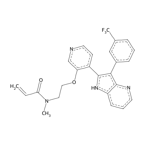 C=CC(=O)N(C)CCOc1cnccc1-c1[nH]c2cccnc2c1-c1cccc(C(F)(F)F)c1